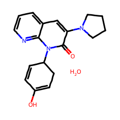 O.O=c1c(N2CCCC2)cc2cccnc2n1C1C=CC(O)=CC1